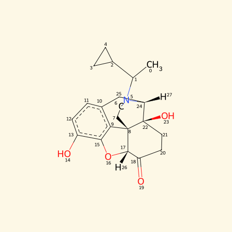 CC(C1CC1)N1CC[C@]23c4c5ccc(O)c4O[C@H]2C(=O)CC[C@@]3(O)[C@H]1C5